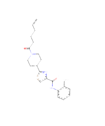 C=CCCCC(=O)N1CCC(c2nc(C(=O)Nc3ccccc3C(C)(C)C)cs2)CC1